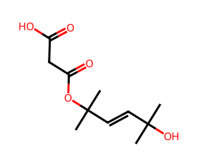 CC(C)(O)C=CC(C)(C)OC(=O)CC(=O)O